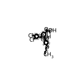 CCCCOc1ccc(S(=O)(=O)C2CC(C(=O)NO)CCN2Cc2ccc(Cl)c(Cl)c2)cc1